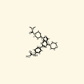 CN(C)C(=O)N1CCC(n2ncc3c(N4CCOCC4)nc(-c4ccc(NC(=O)O)cc4)nc32)CC1